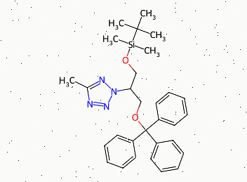 Cc1nnn(C(COC(c2ccccc2)(c2ccccc2)c2ccccc2)CO[Si](C)(C)C(C)(C)C)n1